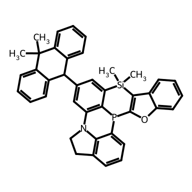 CC1(C)c2ccccc2C(c2cc3c4c(c2)[Si](C)(C)c2c(oc5ccccc25)P4c2cccc4c2N3CC4)c2ccccc21